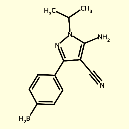 Bc1ccc(-c2nn(C(C)C)c(N)c2C#N)cc1